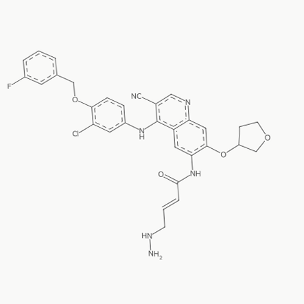 N#Cc1cnc2cc(OC3CCOC3)c(NC(=O)/C=C/CNN)cc2c1Nc1ccc(OCc2cccc(F)c2)c(Cl)c1